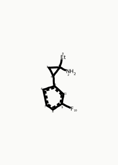 CCC1(N)CC1c1cccc(F)c1